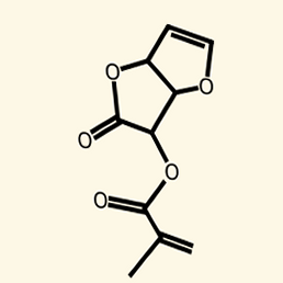 C=C(C)C(=O)OC1C(=O)OC2C=COC21